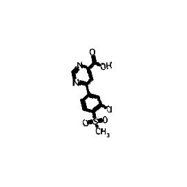 CS(=O)(=O)c1ccc(-c2cc(C(=O)O)ncn2)cc1Cl